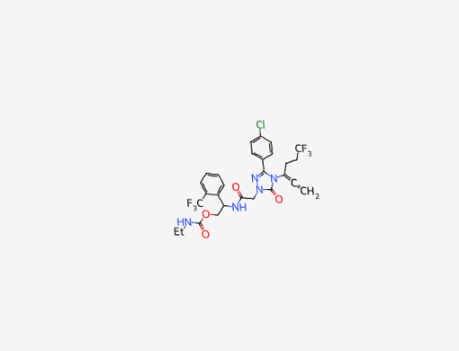 C=C=C(CCC(F)(F)F)n1c(-c2ccc(Cl)cc2)nn(CC(=O)NC(COC(=O)NCC)c2ccccc2C(F)(F)F)c1=O